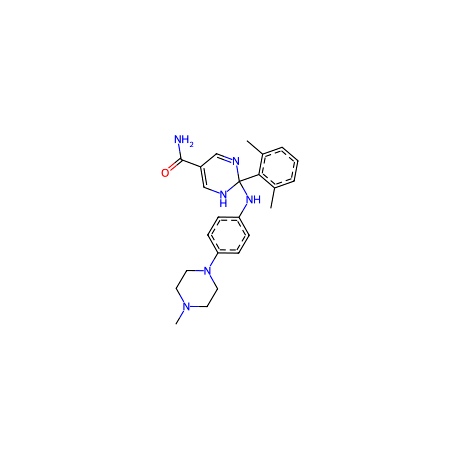 Cc1cccc(C)c1C1(Nc2ccc(N3CCN(C)CC3)cc2)N=CC(C(N)=O)=CN1